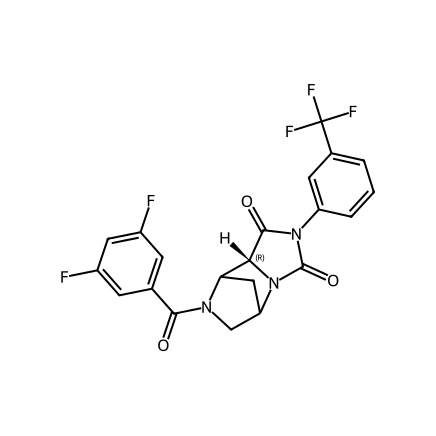 O=C1[C@H]2C3CC(CN3C(=O)c3cc(F)cc(F)c3)N2C(=O)N1c1cccc(C(F)(F)F)c1